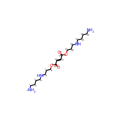 NCCCCNCCCOC(=O)/C=C/C(=O)OCCCNCCCCN